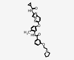 Cc1ccc(Oc2ccc3nc(NC(=O)C4CC4)cn3n2)cc1NC(=O)c1cccc(OCCN2CCCC2)c1